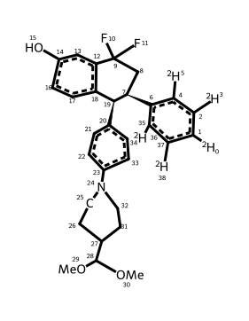 [2H]c1c([2H])c([2H])c([C@@H]2CC(F)(F)c3cc(O)ccc3[C@@H]2c2ccc(N3CCC(C(OC)OC)CC3)cc2)c([2H])c1[2H]